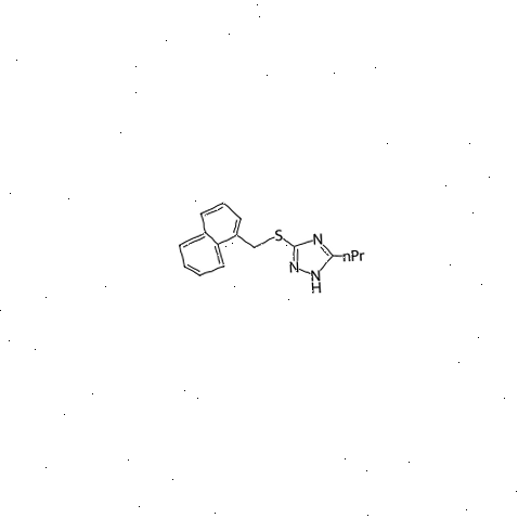 CCCc1nc(SCc2cccc3ccccc23)n[nH]1